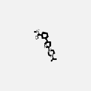 CC(C)N1CCN(c2ccc(-c3cccc(C(=O)N(C)C)c3)cn2)CC1